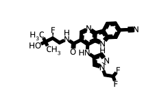 CC(C)(O)[C@H](F)CNC(=O)c1cnc2c([nH]c3cc(C#N)ccc32)c1Nc1cnn(CC(F)F)c1